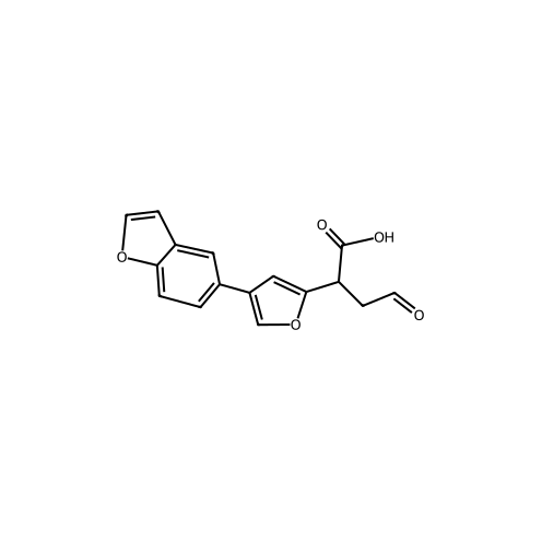 O=CCC(C(=O)O)c1cc(-c2ccc3occc3c2)co1